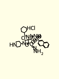 CC(NS(=O)(=O)c1ccc2ccccc2c1)C(=O)C(NCC1CCCCC1)(C(=O)OC=NN)C(=O)N(C)C1CCNCC1.Cl